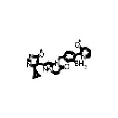 Bc1cc(CN2C(=O)CCn3nc(-c4c(OC)ncnc4C4CC4)cc32)ccc1-c1ncccc1OC